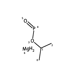 CC(C)OP=O.[MgH2]